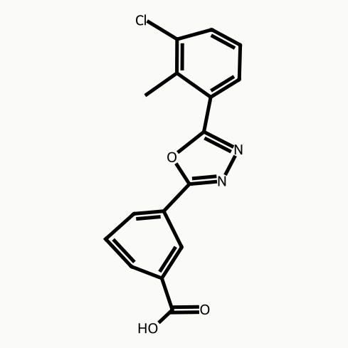 Cc1c(Cl)cccc1-c1nnc(-c2cccc(C(=O)O)c2)o1